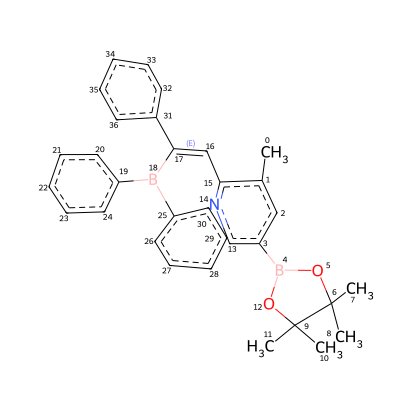 Cc1cc(B2OC(C)(C)C(C)(C)O2)cnc1/C=C(\B(c1ccccc1)c1ccccc1)c1ccccc1